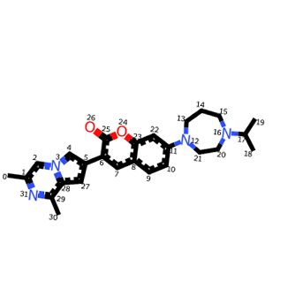 Cc1cn2cc(-c3cc4ccc(N5CCCN(C(C)C)CC5)cc4oc3=O)cc2c(C)n1